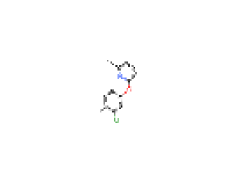 Cc1cccc(Oc2ccc(C)c(Cl)c2)n1